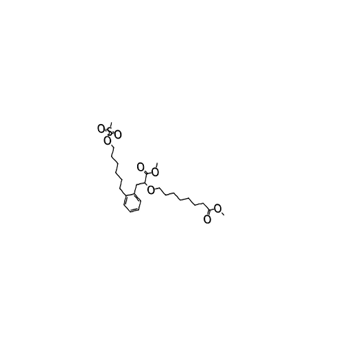 COC(=O)CCCCCCCOC(Cc1ccccc1CCCCCCOS(C)(=O)=O)C(=O)OC